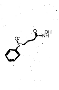 O=C(CCC[S+]([O-])c1ccccc1)NO